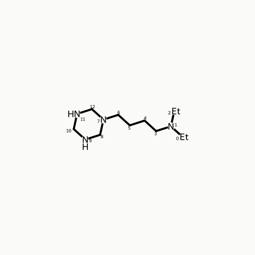 CCN(CC)CCCCN1CNCNC1